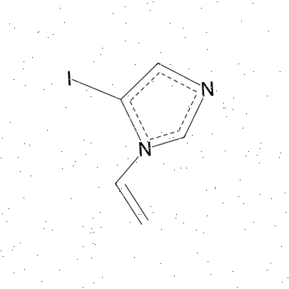 C=Cn1cncc1I